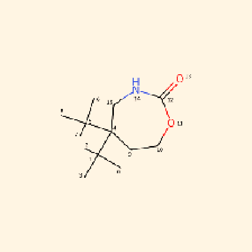 CC(C)(C)C1(C(C)(C)C)CCOC(=O)NC1